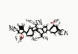 N#CC(C#N)=C1C2=C(C(=C(C#N)C#N)c3cc(-c4ccc(C#N)cc4OC(F)(F)F)ccc32)c2ccc(-c3ccc(C#N)cc3OC(F)(F)F)cc21